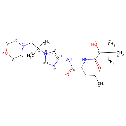 CCCC(NC(=O)C(O)C(C)(C)C)C(=O)Nc1cn(C(C)(C)CN2CCOCC2)cn1